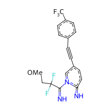 COCC(F)(F)C(=N)n1cc(C#Cc2ccc(C(F)(F)F)cc2)ccc1=N